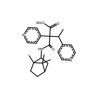 COC(=O)C(C(=O)NC1CC2CCC1(C)C2(C)C)(c1ccncc1)C(C)c1ccncc1